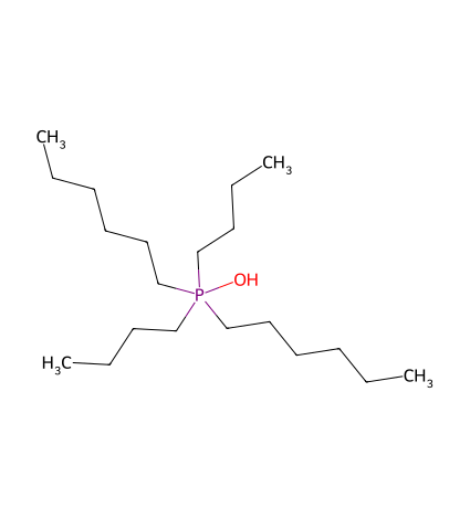 CCCCCCP(O)(CCCC)(CCCC)CCCCCC